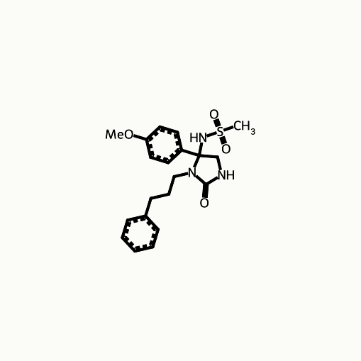 COc1ccc(C2(NS(C)(=O)=O)CNC(=O)N2CCCc2ccccc2)cc1